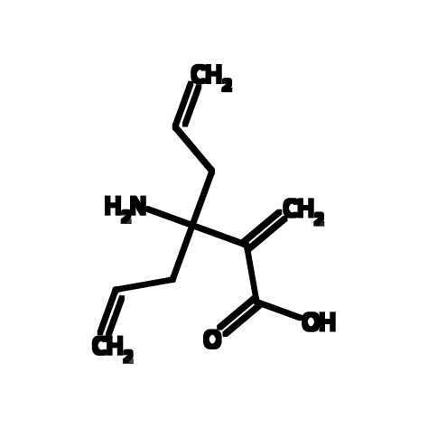 C=CCC(N)(CC=C)C(=C)C(=O)O